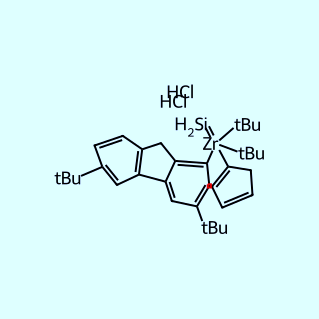 CC(C)(C)c1ccc2c(c1)-c1cc(C(C)(C)C)c[c]([Zr](=[SiH2])([C]3=CC=CC3)([C](C)(C)C)[C](C)(C)C)c1C2.Cl.Cl